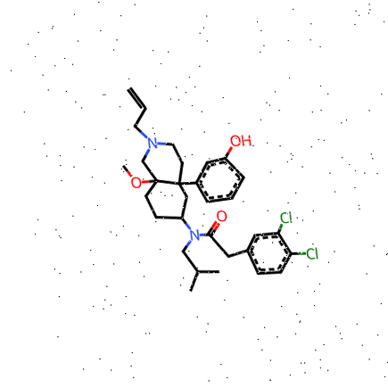 C=CCN1CCC2(c3cccc(O)c3)CC(N(CC(C)C)C(=O)Cc3ccc(Cl)c(Cl)c3)CCC2(OC)C1